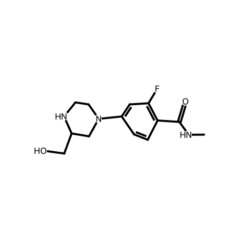 CNC(=O)c1ccc(N2CCNC(CO)C2)cc1F